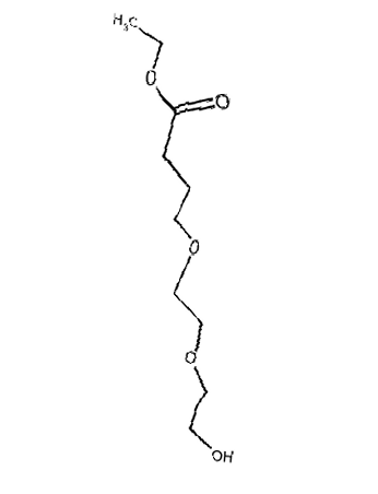 CCOC(=O)CCCOCCOCCO